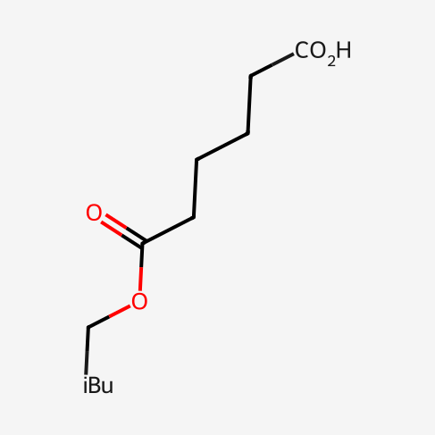 CCC(C)COC(=O)CCCCC(=O)O